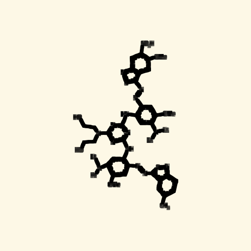 CCN(CC)c1cc(Nc2nc(Nc3cc(N(CC)CC)c(OC)cc3/N=N/c3snc4cc(S(=O)(=O)O)c(OC)cc34)nc(N(CCO)CCO)n2)c(/N=N/c2snc3ccc(C)cc23)cc1OC